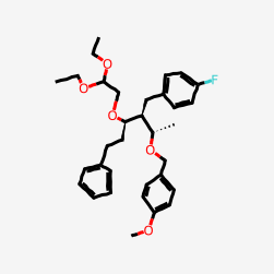 CCOC(CO[C@H](CCc1ccccc1)[C@@H](Cc1ccc(F)cc1)[C@H](C)OCc1ccc(OC)cc1)OCC